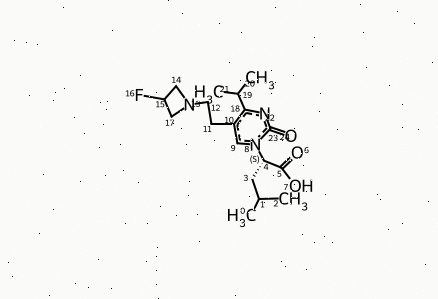 CC(C)C[C@@H](C(=O)O)n1cc(CCN2CC(F)C2)c(C(C)C)nc1=O